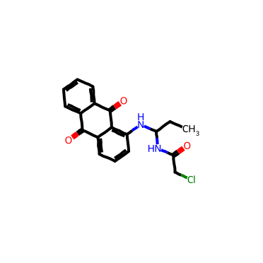 CCC(NC(=O)CCl)Nc1cccc2c1C(=O)c1ccccc1C2=O